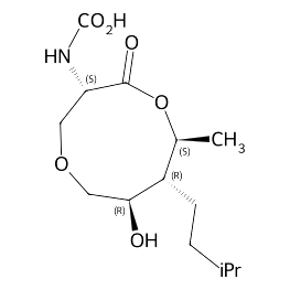 CC(C)CC[C@H]1[C@H](C)OC(=O)[C@@H](NC(=O)O)COC[C@@H]1O